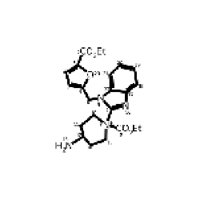 CCOC(=O)c1ccc(Cn2c([N+]3(C(=O)OCC)CCC(N)CC3)nc3ccccc32)o1